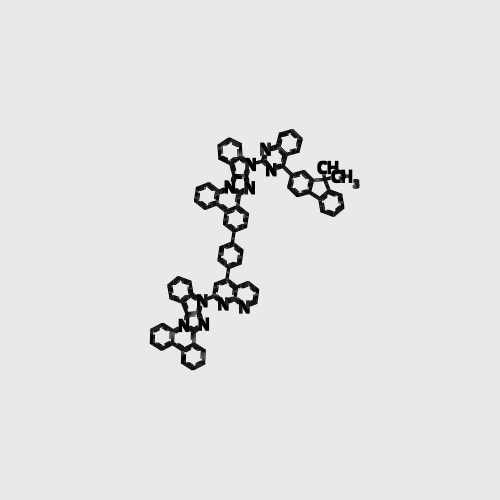 CC1(C)c2ccccc2-c2ccc(-c3nc(-n4c5ccccc5c5c4nc4c6ccc(-c7ccc(-c8cc(-n9c%10ccccc%10c%10c9nc9c%11ccccc%11c%11ccccc%11n9%10)nc9ncccc89)cc7)cc6c6ccccc6n45)nc4ccccc34)cc21